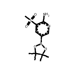 CC1(C)OB(c2cnc(N)c(S(C)(=O)=O)c2)OC1(C)C